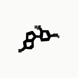 Cc1ccc(C2C=Cc3cc(Br)ccc32)c(C)c1